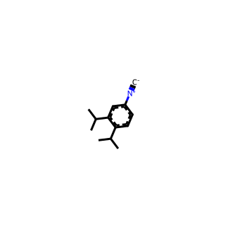 [C-]#[N+]c1ccc(C(C)C)c(C(C)C)c1